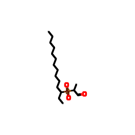 CCCCCCCCCCCC(CC)S(=O)(=O)C(C)C=O